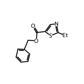 CCc1ncc(C(=O)OCc2ccccc2)s1